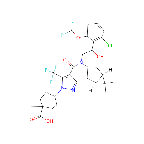 CC1(C(=O)O)CCC(n2ncc(C(=O)N(CC(O)c3c(Cl)cccc3OC(F)F)C3C[C@@H]4[C@H](C3)C4(C)C)c2C(F)(F)F)CC1